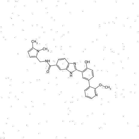 COc1ncccc1-c1ccc(O)c(-c2nc3ccc(C(=O)NCc4ccc(C)n4C)cc3[nH]2)c1